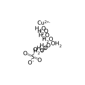 O.O.O.O.O.O.O.O.O=S(=O)([O-])[O-].[Cu+2]